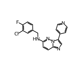 Fc1ccc(CNc2ccc3ncc(-c4ccncc4)n3n2)cc1Cl